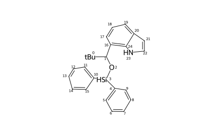 CC(C)(C)C(O[SiH](c1ccccc1)c1ccccc1)c1cccc2cc[nH]c12